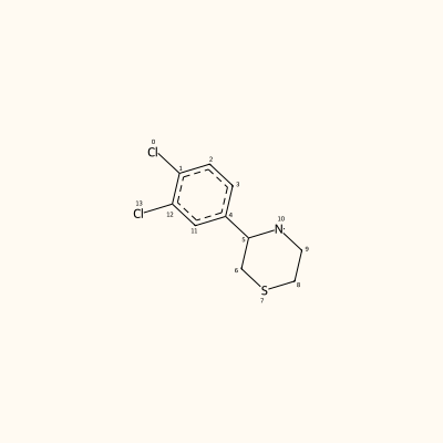 Clc1ccc(C2CSCC[N]2)cc1Cl